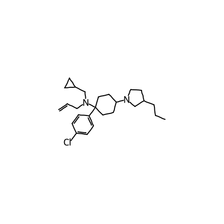 C=CCN(CC1CC1)C1(c2ccc(Cl)cc2)CCC(N2CCC(CCC)C2)CC1